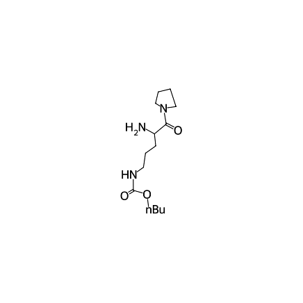 CCCCOC(=O)NCCCC(N)C(=O)N1CCCC1